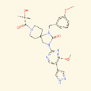 COc1cccc(CN2C(=O)N(c3ncc(-c4cn[nH]c4)c(OC)n3)CC23CCN(C(=O)C(C)(C)O)CC3)c1